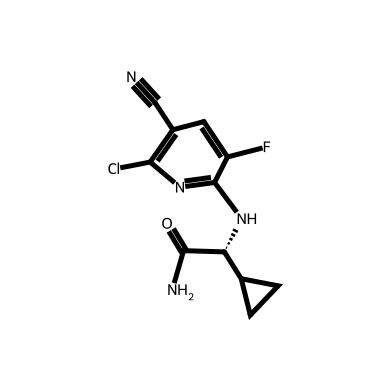 N#Cc1cc(F)c(N[C@@H](C(N)=O)C2CC2)nc1Cl